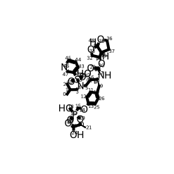 CC(C)CN(C[C@@H](O)[C@H](Cc1ccc(OCP(=O)(O)O[C@@H](C)C(=O)O)cc1)NC(=O)O[C@H]1CO[C@H]2OCC[C@H]21)S(=O)(=O)c1cccnc1